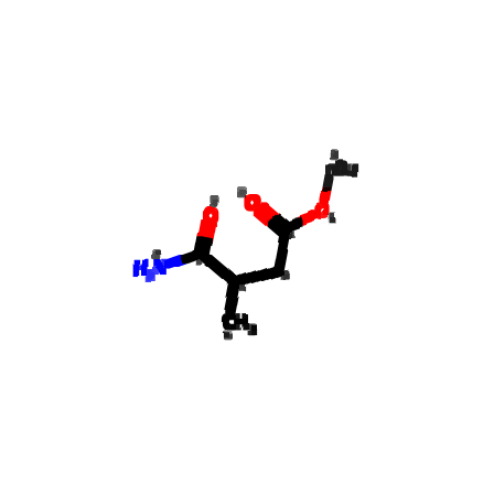 CCCCOC(=O)CC(C)C(N)=O